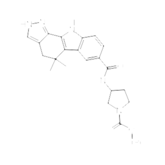 CC(C)(C)OC(=O)N1CCC(NC(=O)c2ccc3[nH]c4c(c3c2)C(C)(C)Cc2c[nH]nc2-4)C1